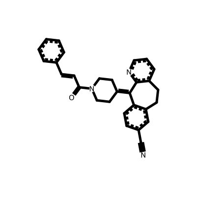 N#Cc1ccc2c(c1)CCc1cccnc1C2=C1CCN(C(=O)/C=C/c2ccccc2)CC1